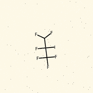 FC(F)C(F)(I)C(F)(F)F